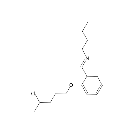 CCCCN=Cc1ccccc1OCCCC(C)Cl